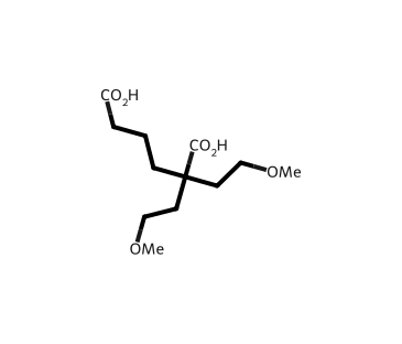 COCCC(CCCC(=O)O)(CCOC)C(=O)O